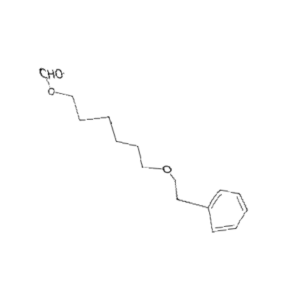 O=[C]OCCCCCCOCc1ccccc1